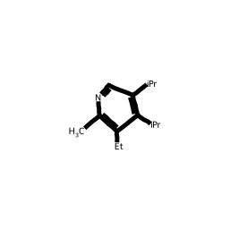 CCc1c(C)ncc(C(C)C)c1C(C)C